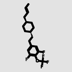 C/C=C/C[C@H]1CC[C@H](CCc2cc(F)c(OC(F)(F)F)c(F)c2)CC1